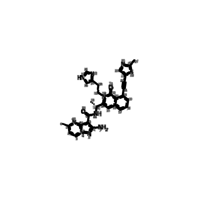 Cc1ccn2nc(N)c(C(=O)N[C@H](C)c3cc4cccc(C#Cc5cnc(C)s5)c4c(=O)n3CCc3c[nH]cn3)c2n1